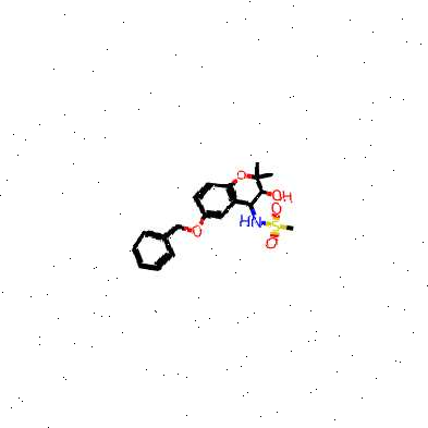 CC1(C)Oc2ccc(OCc3ccccc3)cc2C(NS(C)(=O)=O)C1O